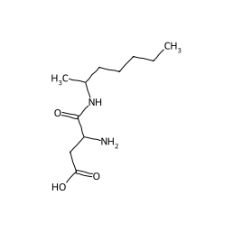 CCCCCC(C)NC(=O)C(N)CC(=O)O